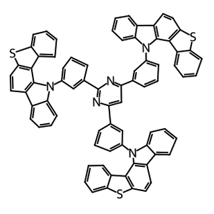 c1cc(-c2cc(-c3cccc(-n4c5ccccc5c5ccc6sc7ccccc7c6c54)c3)nc(-c3cccc(-n4c5ccccc5c5ccc6sc7ccccc7c6c54)c3)n2)cc(-n2c3ccccc3c3ccc4sc5ccccc5c4c32)c1